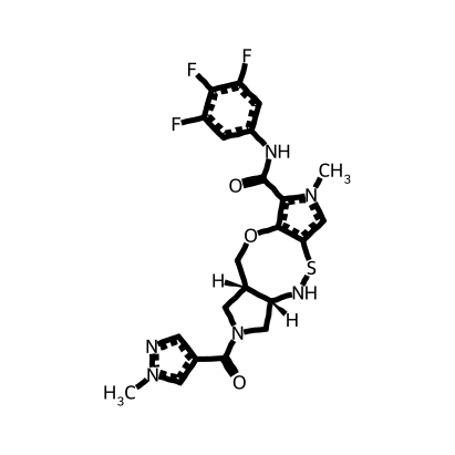 Cn1cc(C(=O)N2C[C@@H]3COc4c(cn(C)c4C(=O)Nc4cc(F)c(F)c(F)c4)SN[C@@H]3C2)cn1